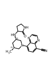 C[C@H]1C[C@@H](NC2CCNC2=O)CN(c2ccc(C#N)c3nccnc23)C1